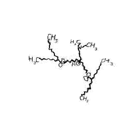 CCCCCCCCCC(CCCCCCCCC)C(=O)OCCCCCCC(O)(CCCCCCOC(=O)C(CCCCCCCCC)CCCCCCCCC)CCCCN(CCC)CCC